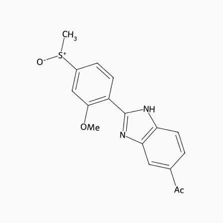 COc1cc([S+](C)[O-])ccc1-c1nc2cc(C(C)=O)ccc2[nH]1